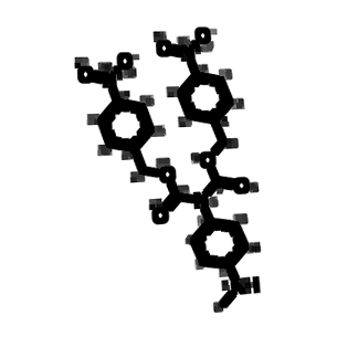 CNc1ccc(N(C(=O)OCc2ccc([N+](=O)[O-])cc2)C(=O)OCc2ccc([N+](=O)[O-])cc2)cc1